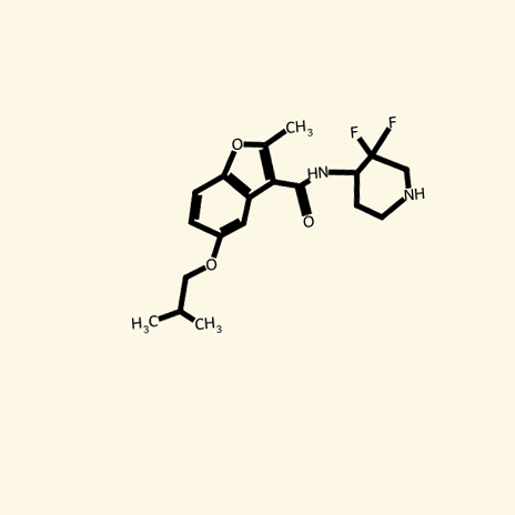 Cc1oc2ccc(OCC(C)C)cc2c1C(=O)NC1CCNCC1(F)F